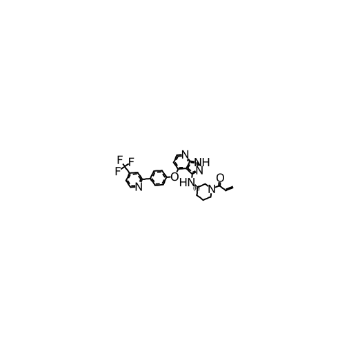 C=CC(=O)N1CCC[C@@H](Nc2n[nH]c3nccc(Oc4ccc(-c5cc(C(F)(F)F)ccn5)cc4)c23)C1